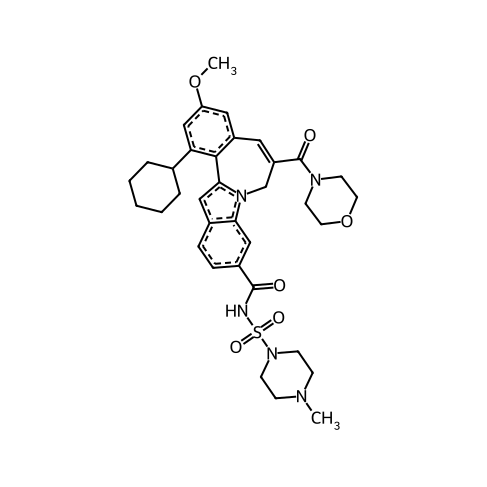 COc1cc2c(c(C3CCCCC3)c1)-c1cc3ccc(C(=O)NS(=O)(=O)N4CCN(C)CC4)cc3n1CC(C(=O)N1CCOCC1)=C2